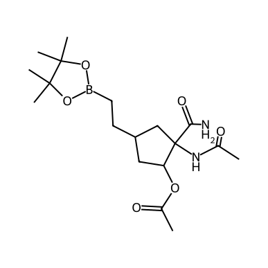 CC(=O)NC1(C(N)=O)CC(CCB2OC(C)(C)C(C)(C)O2)CC1OC(C)=O